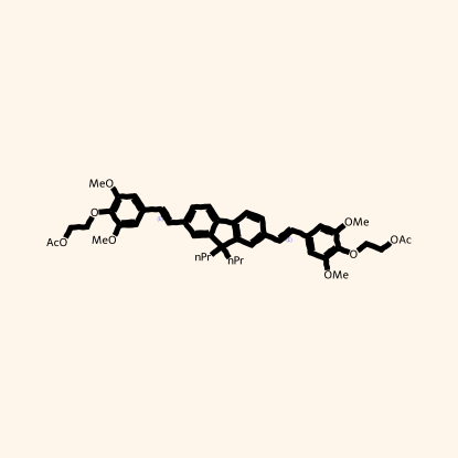 CCCC1(CCC)c2cc(/C=C/c3cc(OC)c(OCCOC(C)=O)c(OC)c3)ccc2-c2ccc(/C=C/c3cc(OC)c(OCCOC(C)=O)c(OC)c3)cc21